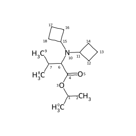 CC(C)OC(=O)C(C(C)C)N(C1CCC1)C1CCC1